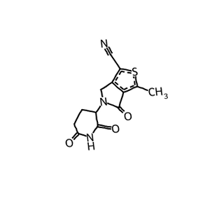 Cc1sc(C#N)c2c1C(=O)N(C1CCC(=O)NC1=O)C2